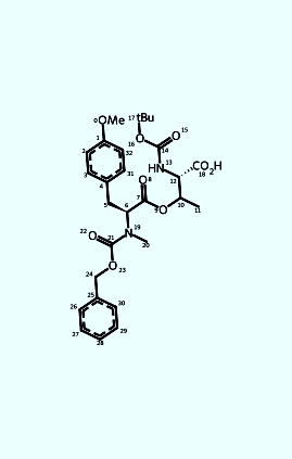 COc1ccc(C[C@@H](C(=O)OC(C)[C@H](NC(=O)OC(C)(C)C)C(=O)O)N(C)C(=O)OCc2ccccc2)cc1